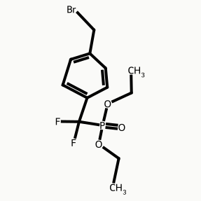 CCOP(=O)(OCC)C(F)(F)c1ccc(CBr)cc1